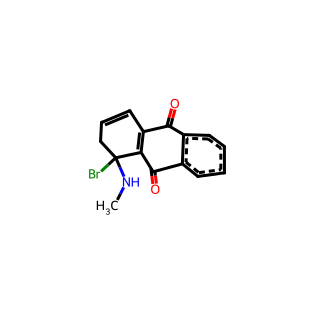 CNC1(Br)CC=CC2=C1C(=O)c1ccccc1C2=O